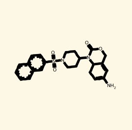 NC1=CCC2C(=C1)COC(=O)N2C1CCN(S(=O)(=O)c2ccc3ccccc3c2)CC1